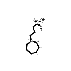 O=S(=O)(O)CCCN1CCCCCC1